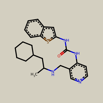 CC(CC1CCCCC1)NCc1cnccc1NC(=O)Nc1cc2ccccc2s1